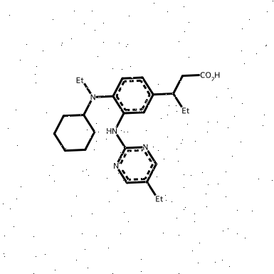 CCc1cnc(Nc2cc(C(CC)CC(=O)O)ccc2N(CC)C2CCCCC2)nc1